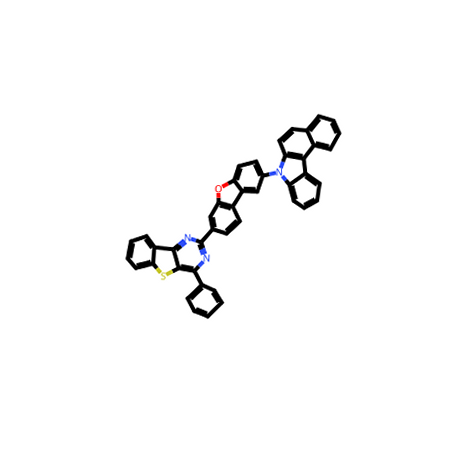 c1ccc(-c2nc(-c3ccc4c(c3)oc3ccc(-n5c6ccccc6c6c7ccccc7ccc65)cc34)nc3c2sc2ccccc23)cc1